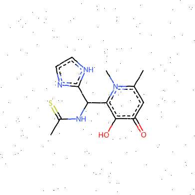 CC(=S)NC(c1ncc[nH]1)c1c(O)c(=O)cc(C)n1C